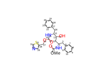 COC(=O)NC(Cc1ccccc1)CC(O)C(Cc1ccccc1)NC(=O)OCc1cncs1